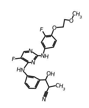 COCCOc1ccc(Nc2ncc(F)c(Nc3cccc(C(O)C(C)C#N)c3)n2)cc1F